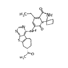 CCc1cc(Nc2ncnc3sc4c(c23)CC[C@H](C(C)=O)C4)c(=O)n2c1C(=O)NC21CCC1